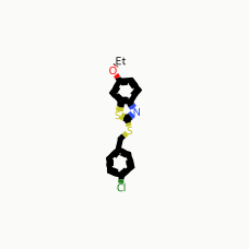 CCOc1ccc2nc(SCc3ccc(Cl)cc3)sc2c1